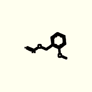 [CH]=NOCc1ccccc1OC